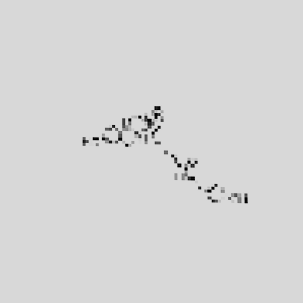 C[C@]12CC[C@@H]3c4ccc(O)cc4CC[C@H]3[C@@H]1[C@H](CCCCCC(=O)NCCc1ccc(O)cc1)CC2=O